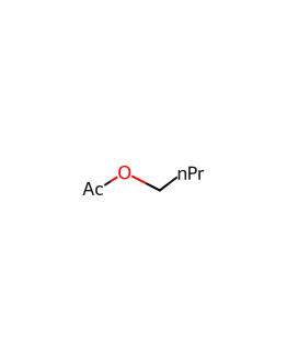 C[CH]CCOC(C)=O